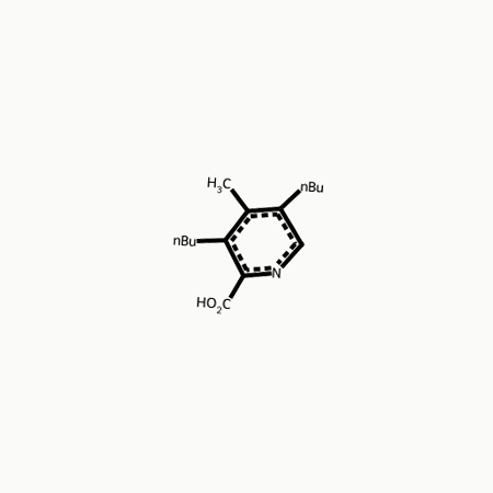 CCCCc1cnc(C(=O)O)c(CCCC)c1C